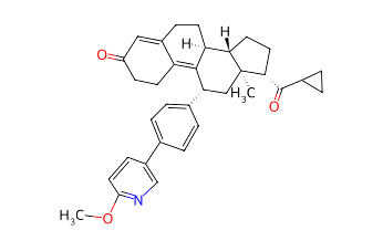 COc1ccc(-c2ccc([C@H]3C[C@]4(C)[C@@H](C(=O)C5CC5)CC[C@H]4[C@@H]4CCC5=CC(=O)CCC5=C43)cc2)cn1